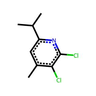 Cc1cc(C(C)C)nc(Cl)c1Cl